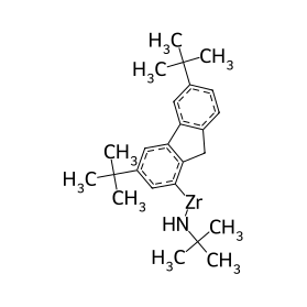 CC(C)(C)[NH][Zr][c]1cc(C(C)(C)C)cc2c1Cc1ccc(C(C)(C)C)cc1-2